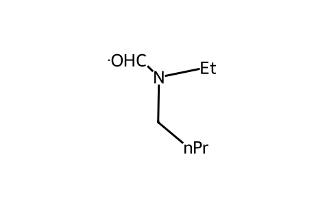 CCCCN([C]=O)CC